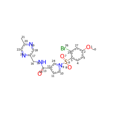 COc1ccc(S(=O)(=O)n2ccc(C(=O)NCc3cnc(C)cn3)c2)c(Br)c1